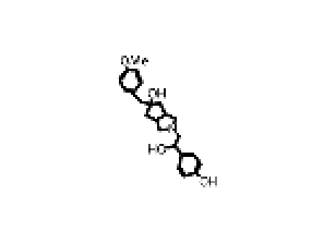 COc1ccc(CC2(O)CC3CN(CC(O)c4ccc(O)cc4)CC3C2)cc1